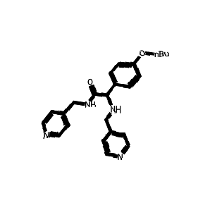 CCCCOc1ccc(C(NCc2ccncc2)C(=O)NCc2ccncc2)cc1